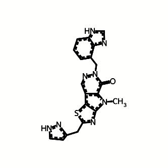 Cn1c2nc(Cc3cc[nH]n3)sc2c2cnn(Cc3cccc4[nH]cnc34)c(=O)c21